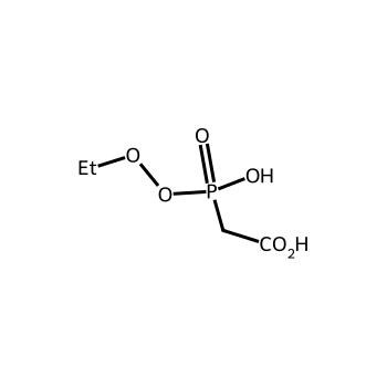 CCOOP(=O)(O)CC(=O)O